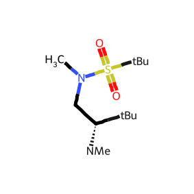 CN[C@H](CN(C)S(=O)(=O)C(C)(C)C)C(C)(C)C